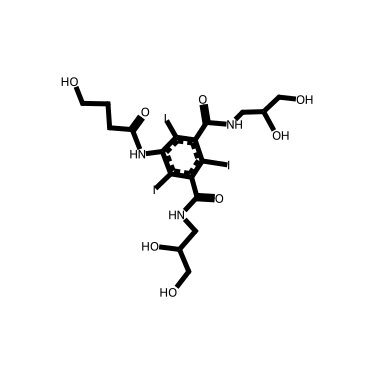 O=C(CCCO)Nc1c(I)c(C(=O)NCC(O)CO)c(I)c(C(=O)NCC(O)CO)c1I